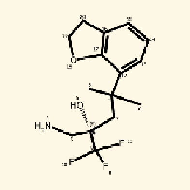 CC(C)(C[C@](O)(CN)C(F)(F)F)c1cccc2c1OCC2